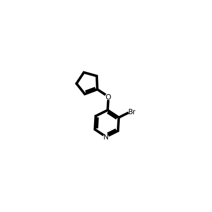 Brc1cnccc1OC1=CCCC1